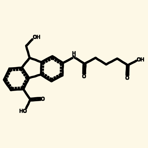 O=C(O)CCCC(=O)Nc1ccc2c(c1)C(CO)c1cccc(C(=O)O)c1-2